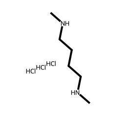 CNCCCCNC.Cl.Cl.Cl